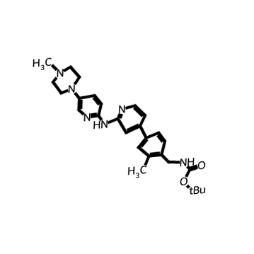 Cc1cc(-c2ccnc(Nc3ccc(N4CCN(C)CC4)cn3)c2)ccc1CNC(=O)OC(C)(C)C